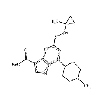 COC(=O)c1cnn2c(N3CCN(C)CC3)cc(SNC3(C)CC3)cc12